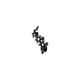 CCCC1CCC(c2ccc(-c3ccc(OC(F)(F)F)c(F)c3)c(F)c2)O1